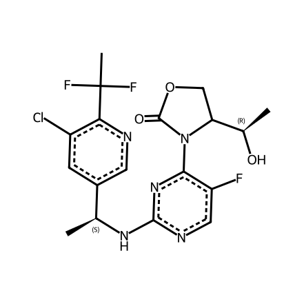 C[C@H](Nc1ncc(F)c(N2C(=O)OCC2[C@@H](C)O)n1)c1cnc(C(C)(F)F)c(Cl)c1